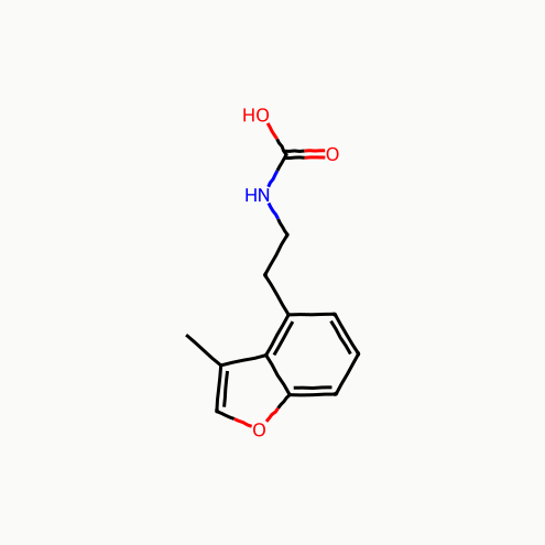 Cc1coc2cccc(CCNC(=O)O)c12